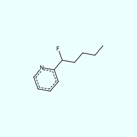 CCCCC(F)c1ccccn1